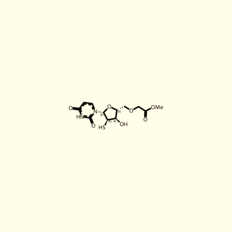 COC(=O)COC[C@H]1O[C@@H](n2ccc(=O)[nH]c2=O)[C@H](S)[C@@H]1O